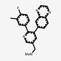 CNCc1cnc(-c2ccc(F)c(C)c2)c(-c2ccc3nccnc3c2)c1